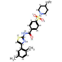 CCCC1CCN(S(=O)(=O)c2ccc(C(=O)Nc3nc(-c4cc(C)ccc4C)cs3)cc2)CC1